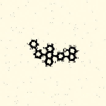 c1ccc(-c2cccc(-c3c4ccccc4c(-c4ccc5c(c4)Oc4cccc6cccc-5c46)c4ccccc34)c2)cc1